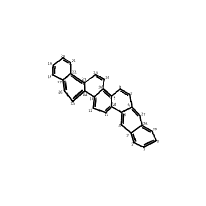 c1ccc2cc3c(ccc4c3ccc3c5ccc6ccccc6c5ccc43)cc2c1